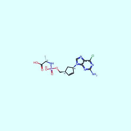 C[C@H](NP(=O)(O)OC[C@@H]1C=C[C@H](n2cnc3c(Cl)nc(N)nc32)C1)C(=O)O